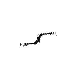 C=COCCCCCCCCCOc1ccc(C(=O)Oc2cccc3c(OC(=O)c4ccc(OCCCCCCCCCOC=C)cc4)cccc23)cc1